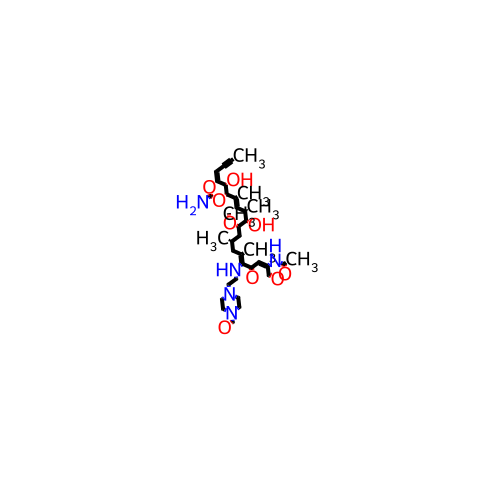 CC#C/C=C\C(O)C(OC(N)=O)/C(C)=C/[C@H](C)C(O)C(C[C@H](C)C/C(C)=C(\NCCN1CCN(C=O)CC1)C(=O)/C=C(\C=O)NC(C)=O)OC